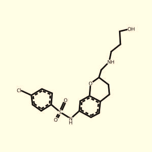 O=S(=O)(Nc1ccc2c(c1)OC(CNCCCO)CC2)c1ccc(Cl)cc1